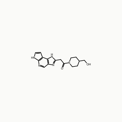 O=C(Cc1nc2cnc3[nH]ccc3c2[nH]1)N1CCC(CO)CC1